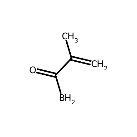 BC(=O)C(=C)C